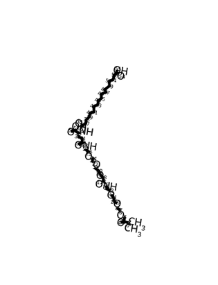 CC(C)C(=O)COCCOCCOCCNC(=O)COCCOCCOCCNC(=O)CC[C@H](NC(=O)CCCCCCCCCCCCCCCCC(=O)O)C(=O)O